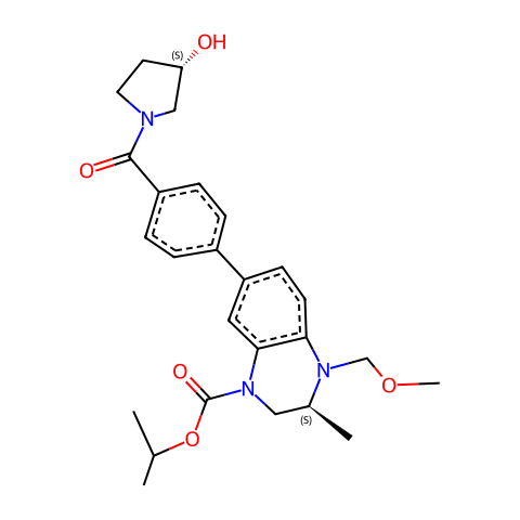 COCN1c2ccc(-c3ccc(C(=O)N4CC[C@H](O)C4)cc3)cc2N(C(=O)OC(C)C)C[C@@H]1C